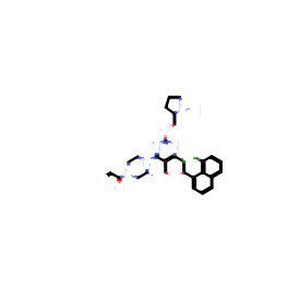 C=CC(=O)N1CCN(c2nc(OCC3CCCN3C)nc3c2COC(c2cccc4cccc(Cl)c24)C3)[C@@H](C)C1